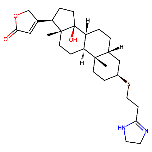 C[C@]12CC[C@H](SCCC3=NCCN3)C[C@H]1CC[C@@H]1[C@@H]2CC[C@]2(C)[C@@H](C3=CC(=O)OC3)CC[C@]12O